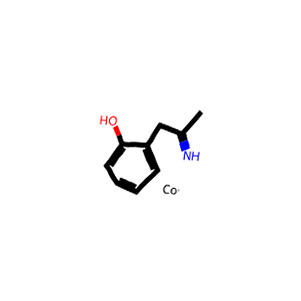 CC(=N)Cc1ccccc1O.[Co]